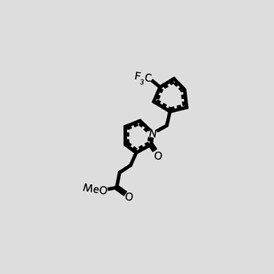 COC(=O)CCc1cccn(Cc2cccc(C(F)(F)F)c2)c1=O